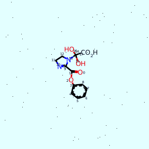 O=C(Oc1ccccc1)C1=NCCN1C(O)(O)C(=O)O